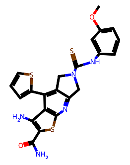 COc1cccc(NC(=S)N2Cc3nc4sc(C(N)=O)c(N)c4c(-c4cccs4)c3C2)c1